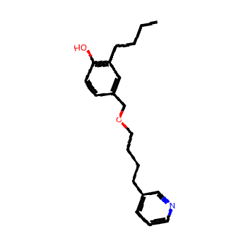 CCCCc1cc(COCCCCc2cccnc2)ccc1O